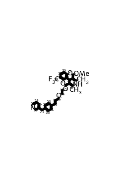 COC(=O)C1=C(C)NC(C)=C(C(=O)OCCOC/C=C/c2ccc(Cc3cccnc3)cc2)C1c1cccc(C(F)(F)F)c1